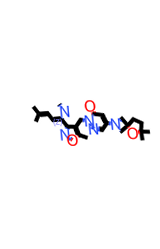 C=N/C(=C\C=C(C)C)c1noc(C)c1Cn1ncc(N2CC3(CCC(C)(C)O3)C2)cc1=O